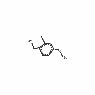 CCC(C)Oc1ccc(CO)c(C)c1